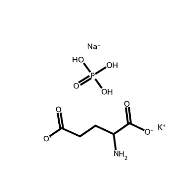 NC(CCC(=O)[O-])C(=O)[O-].O=P(O)(O)O.[K+].[Na+]